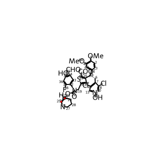 COc1ccc([C@H](Cc2c(Cl)c[n+](O)cc2Cl)c2cc(CN(C(=O)O[C@H]3CN4CCC3CC4)c3ccccc3F)sc2C(=O)[O-])cc1OC.O=CO